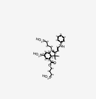 CC1(C)C(/C=C/Nc2ccccc2)=[N+](CCCS(=O)(=O)O)c2cc(S(=O)(=O)O)cc(C(=O)OCCCS(=O)(=O)O)c21